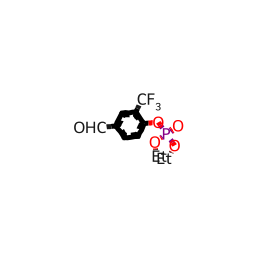 CCOP(=O)(OCC)Oc1ccc(C=O)cc1C(F)(F)F